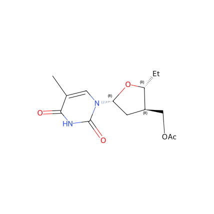 CC[C@H]1O[C@@H](n2cc(C)c(=O)[nH]c2=O)C[C@@H]1COC(C)=O